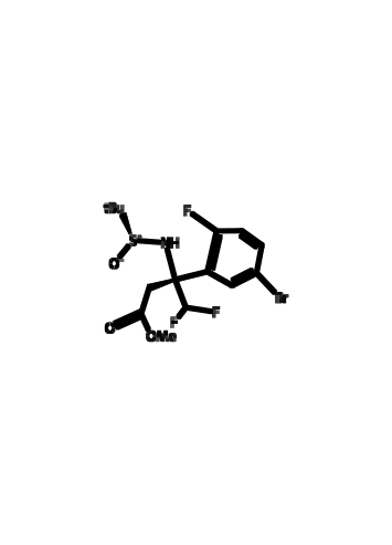 COC(=O)C[C@@](N[S@@+]([O-])C(C)(C)C)(c1cc(Br)ccc1F)C(F)F